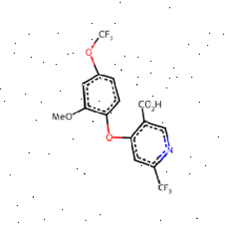 COc1cc(OC(F)(F)F)ccc1Oc1cc(C(F)(F)F)ncc1C(=O)O